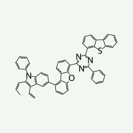 C=Cc1c(/C=C\C)n(-c2ccccc2)c2ccc(-c3cccc4oc5c(-c6nc(-c7ccccc7)nc(-c7cccc8c7sc7ccccc78)n6)cccc5c34)cc12